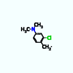 [CH2]c1ccc(N(C)C)cc1Cl